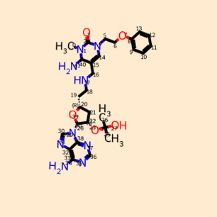 CN1C(=O)N(CCOc2ccccc2)C=C(CNCC[C@@H]2C[C@H](OC(C)(C)O)[C@H](n3cnc4c(N)ncnc43)O2)C1N